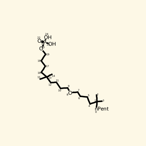 CCCCCC(C)(C)CCCCOCCCCC(C)(C)CCCCOP(=O)(O)O